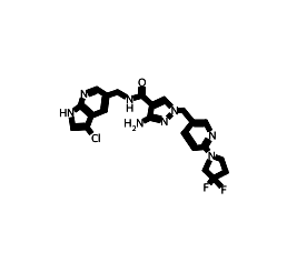 Nc1nn(Cc2ccc(N3CCC(F)(F)C3)nc2)cc1C(=O)NCc1cnc2[nH]cc(Cl)c2c1